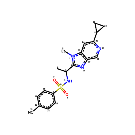 CCn1c(C(C)NS(=O)(=O)c2ccc(C#N)cc2)nc2cnc(C3CC3)cc21